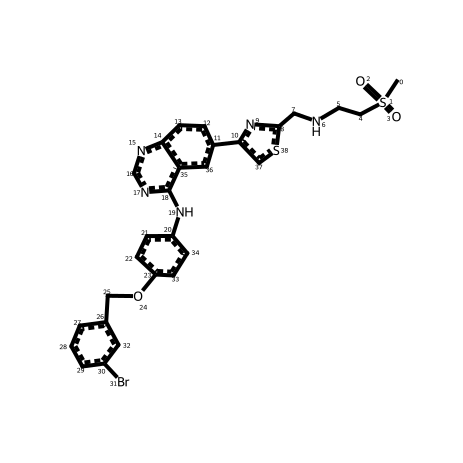 CS(=O)(=O)CCNCc1nc(-c2ccc3ncnc(Nc4ccc(OCc5cccc(Br)c5)cc4)c3c2)cs1